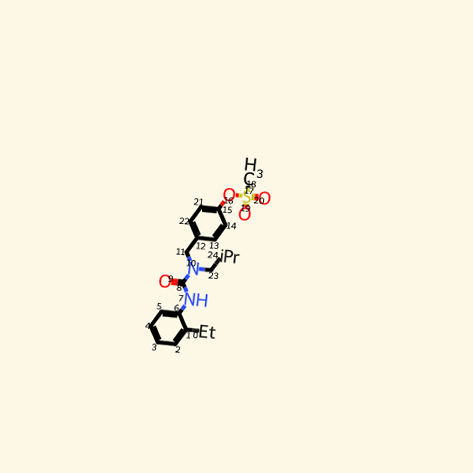 CCc1ccccc1NC(=O)N(Cc1ccc(OS(C)(=O)=O)cc1)CC(C)C